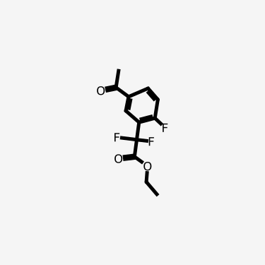 CCOC(=O)C(F)(F)c1cc(C(C)=O)ccc1F